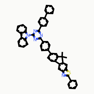 CC1(C)c2cc(-c3ccc(-c4nc(-c5ccc(-c6ccccc6)cc5)nc(-n5c6ccccc6c6ccccc65)n4)cc3)ccc2-c2cc3nc(-c4ccccc4)sc3cc21